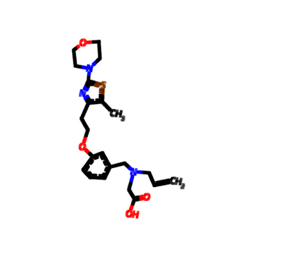 C=CCN(CC(=O)O)Cc1cccc(OCCc2nc(N3CCOCC3)sc2C)c1